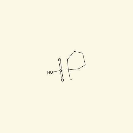 [CH2]C1(S(=O)(=O)O)CCCCC1